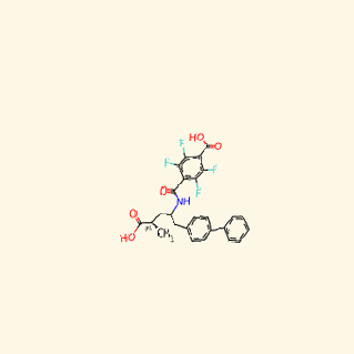 C[C@H](CC(Cc1ccc(-c2ccccc2)cc1)NC(=O)c1c(F)c(F)c(C(=O)O)c(F)c1F)C(=O)O